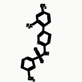 Cc1cccc(S(=O)(=O)Nc2ccc(-c3ccc(C(F)(F)F)cc3C(F)(F)F)cn2)c1